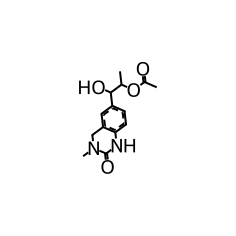 CC(=O)OC(C)C(O)c1ccc2c(c1)CN(C)C(=O)N2